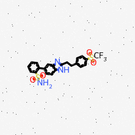 NS(=O)(=O)c1ccccc1-c1ccc2[nH]c(CCc3ccc(S(=O)(=O)C(F)(F)F)cc3)nc2c1